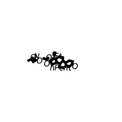 C#C[C@]1(OC(=O)COc2cc(C)on2)CC(CCCCC)C2C3CCC4=CC(=O)CCC4C3CC[C@@]21CC